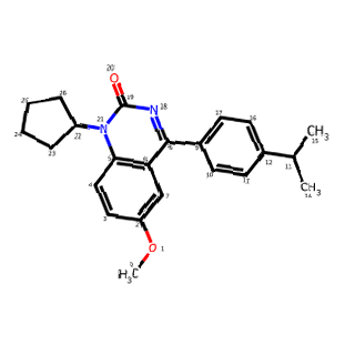 COc1ccc2c(c1)c(-c1ccc(C(C)C)cc1)nc(=O)n2C1CCCC1